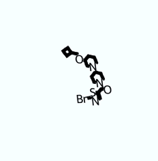 O=C(c1cnc(Br)s1)N1CCC(N2CCCC(OCC3CCC3)C2)CC1